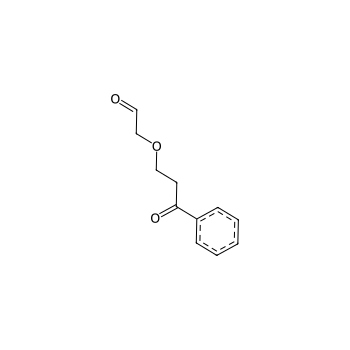 O=CCOCCC(=O)c1ccccc1